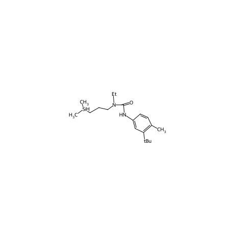 CCN(CCC[SiH](C)C)C(=O)Nc1ccc(C)c(C(C)(C)C)c1